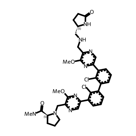 CNC(=O)[C@@H]1CCCN1Cc1ncc(-c2cccc(-c3cccc(-c4cnc(CNC[C@@H]5CCC(=O)N5)c(OC)n4)c3Cl)c2Cl)nc1OC